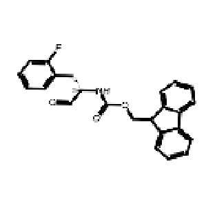 O=C[C@H](Cc1ccccc1F)NC(=O)OCC1c2ccccc2-c2ccccc21